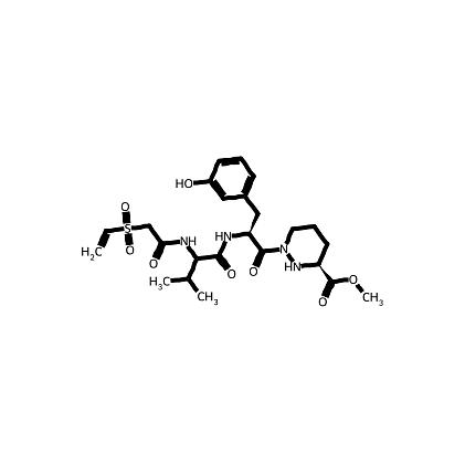 C=CS(=O)(=O)CC(=O)NC(C(=O)N[C@@H](Cc1cccc(O)c1)C(=O)N1CCC[C@@H](C(=O)OC)N1)C(C)C